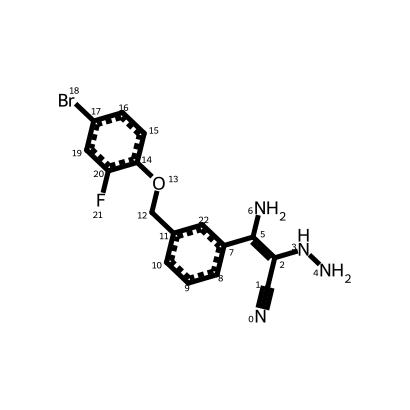 N#C/C(NN)=C(/N)c1cccc(COc2ccc(Br)cc2F)c1